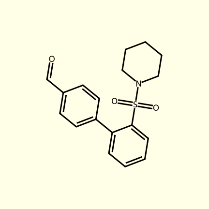 O=Cc1ccc(-c2ccccc2S(=O)(=O)N2CCCCC2)cc1